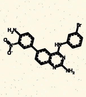 Nc1nc(Nc2cccc(Br)c2)c2cc(-c3ccc(N)c([N+](=O)[O-])c3)ccc2n1